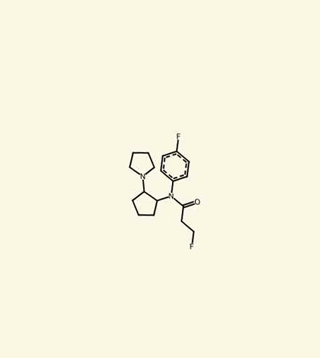 O=C(CCF)N(c1ccc(F)cc1)C1CCCC1N1CCCC1